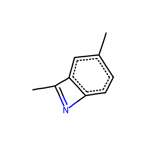 CC1=Nc2ccc(C)cc21